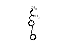 C/C=C/C(N)Cc1ccc(OCc2ccccc2)cc1